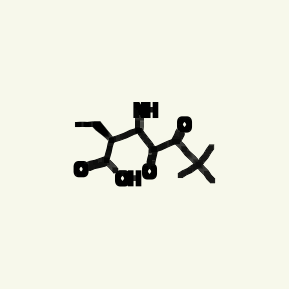 CC[C@@H](C(=N)C(=O)C(=O)C(C)(C)C)C(=O)O